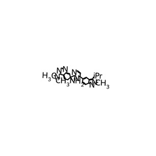 CC(C)c1c2cc(-c3ccnc(C4(N)C=c5ncnc(N(C)C)c5=CC4)n3)ccc2nn1C